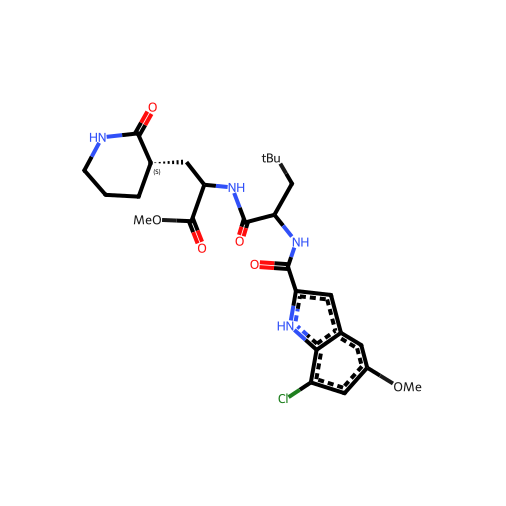 COC(=O)C(C[C@@H]1CCCNC1=O)NC(=O)C(CC(C)(C)C)NC(=O)c1cc2cc(OC)cc(Cl)c2[nH]1